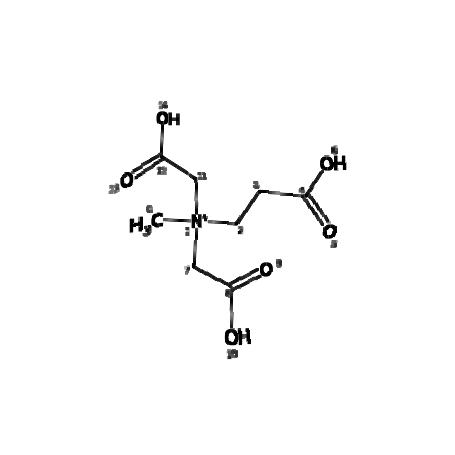 C[N+](CCC(=O)O)(CC(=O)O)CC(=O)O